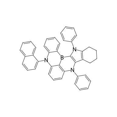 c1ccc(N2c3cccc4c3B(c3ccccc3N4c3cccc4ccccc34)c3c2c2c(n3-c3ccccc3)CCCC2)cc1